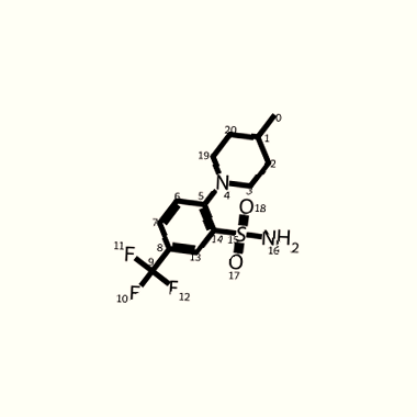 CC1CCN(c2ccc(C(F)(F)F)cc2S(N)(=O)=O)CC1